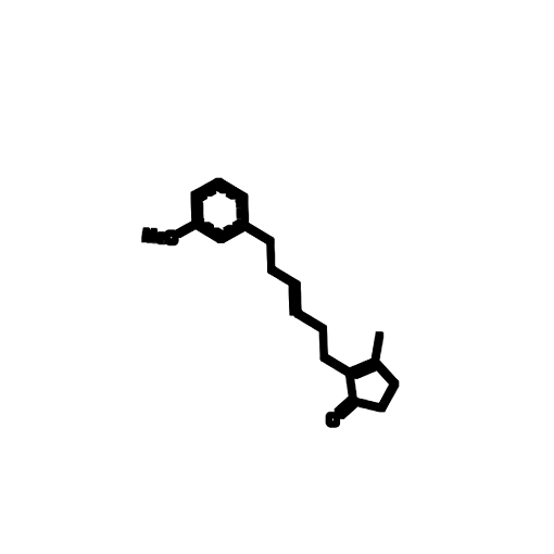 COc1cccc(CCC=CCCC2=C(C)CCC2=O)c1